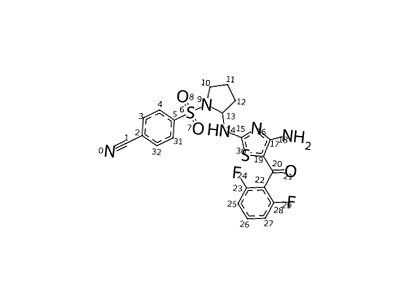 N#Cc1ccc(S(=O)(=O)N2CCCC2Nc2nc(N)c(C(=O)c3c(F)cccc3F)s2)cc1